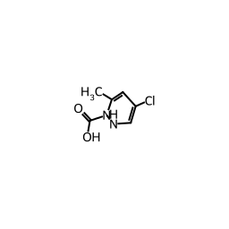 CC1=CC(Cl)=CNN1C(=O)O